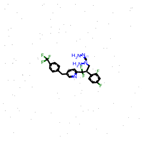 N/N=C\N(N)CC(c1ccc(F)cc1F)C(F)(F)c1ccc(Cc2ccc(C(F)(F)F)cc2)cn1